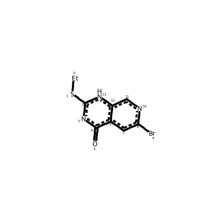 CCSc1nc(=O)c2cc(Br)ncc2[nH]1